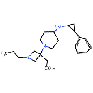 O=C(O)CC1(N2CCC(N[C@@H]3C[C@H]3c3ccccc3)CC2)CN(CCC(F)(F)F)C1